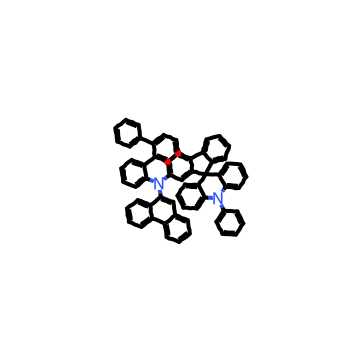 c1ccc(-c2ccccc2-c2ccccc2N(c2ccc3c(c2)C2(c4ccccc4-3)c3ccccc3N(c3ccccc3)c3ccccc32)c2cc3ccccc3c3ccccc23)cc1